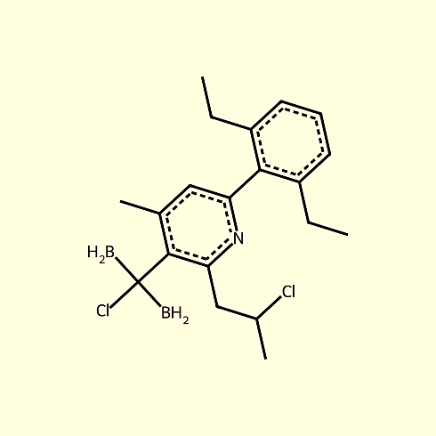 BC(B)(Cl)c1c(C)cc(-c2c(CC)cccc2CC)nc1CC(C)Cl